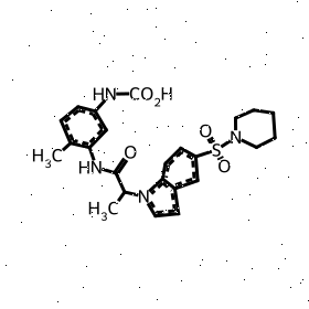 Cc1ccc(NC(=O)O)cc1NC(=O)C(C)n1ccc2cc(S(=O)(=O)N3CCCCC3)ccc21